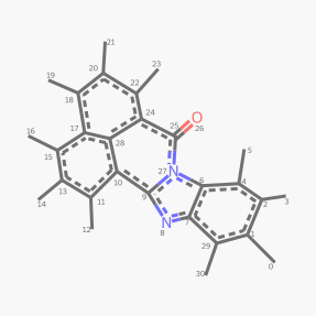 Cc1c(C)c(C)c2c(nc3c4c(C)c(C)c(C)c5c(C)c(C)c(C)c(c(=O)n32)c54)c1C